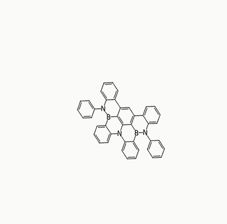 c1ccc(N2B3c4ccccc4N4c5ccccc5B5c6c(cc(c3c64)-c3ccccc32)-c2ccccc2N5c2ccccc2)cc1